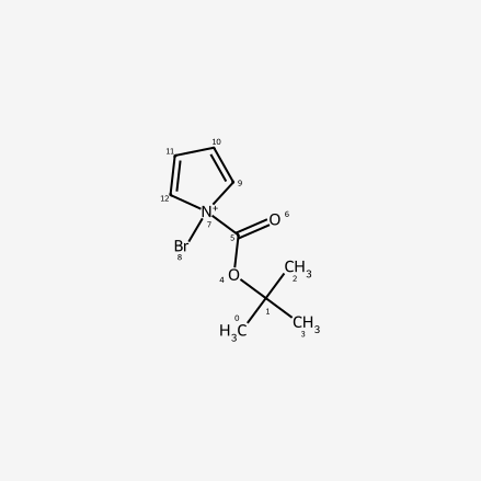 CC(C)(C)OC(=O)[N+]1(Br)C=CC=C1